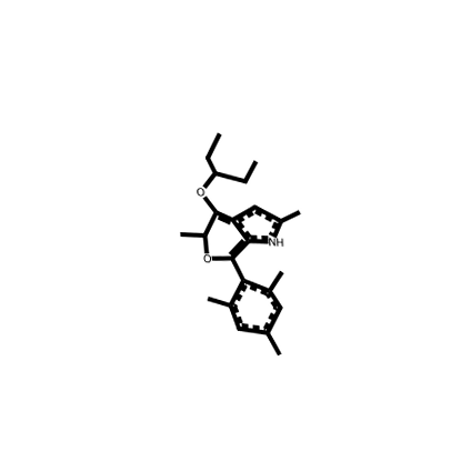 CCC(CC)OC1=c2cc(C)[nH]c2=C(c2c(C)cc(C)cc2C)OC1C